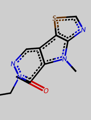 CCn1ncc2c3scnc3n(C)c2c1=O